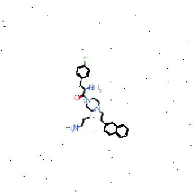 NCCC[C@@H]1CN(C(=O)[C@H](N)Cc2ccc(Cl)cc2)CCN1CCc1ccc2ccccc2c1